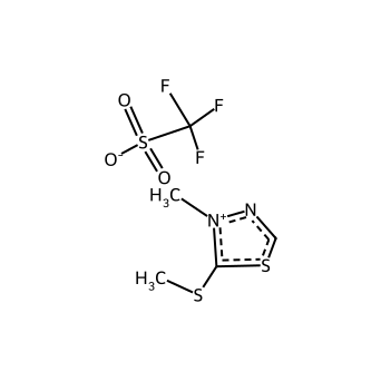 CSc1scn[n+]1C.O=S(=O)([O-])C(F)(F)F